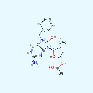 CCC(=O)O[C@H]1C[C@@H](OC(C)=O)[C@H](n2c(=O)n(Cc3ccccc3)c3cnc(N)nc32)O1